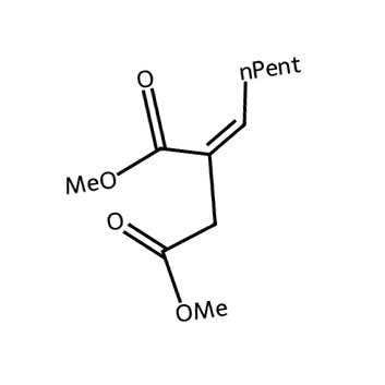 CCCCC/C=C(/CC(=O)OC)C(=O)OC